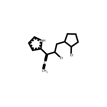 C=C=C(c1ccc[nH]1)C(CC)CC1CCCC1CC